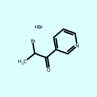 Br.CC(Br)C(=O)c1cccnc1